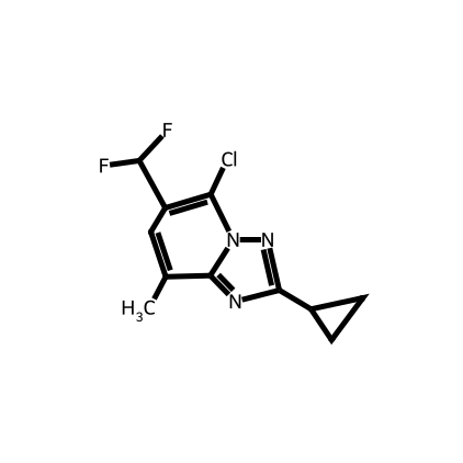 Cc1cc(C(F)F)c(Cl)n2nc(C3CC3)nc12